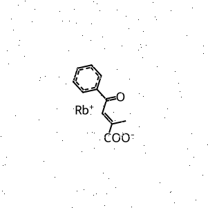 CC(=CC(=O)c1ccccc1)C(=O)[O-].[Rb+]